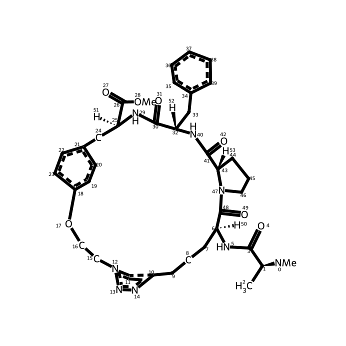 CN[C@@H](C)C(=O)N[C@H]1CCCc2cn(nn2)CCOc2ccc(cc2)C[C@@H](C(=O)OC)NC(=O)[C@H](Cc2ccccc2)NC(=O)[C@@H]2CCCN2C1=O